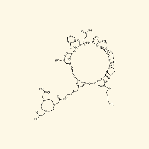 CCCCNC(=O)N[C@H]1CSCc2cc(CSCCNC(=O)CN3CCN(CC(=O)O)CCN(CC(=O)O)CC3)cc(c2)CSC[C@@H](CC(=O)O)NC(=O)[C@H](Cc2ccccc2)NC(=O)[C@H](CCC(N)=O)NC(=O)[C@H]([C@@H](C)O)NC(=O)[C@@H]2CCCN2C(=O)[C@@H]2CCCN2C1=O